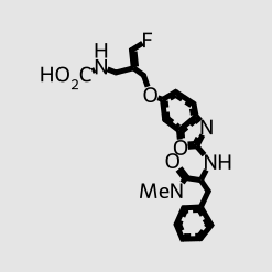 CNC(=O)C(Cc1ccccc1)Nc1nc2ccc(OC/C(=C\F)CNC(=O)O)cc2o1